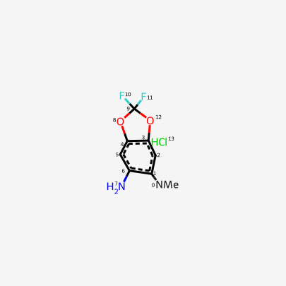 CNc1cc2c(cc1N)OC(F)(F)O2.Cl